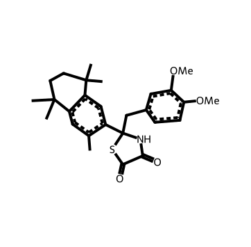 COc1ccc(CC2(c3cc4c(cc3C)C(C)(C)CCC4(C)C)NC(=O)C(=O)S2)cc1OC